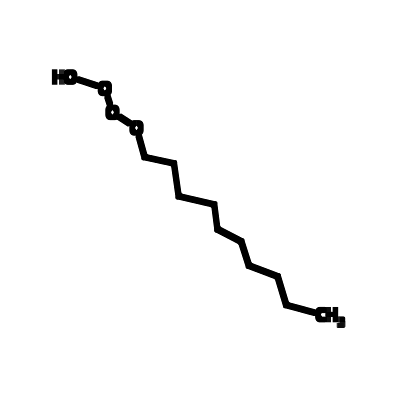 CCCCCCCCCCOOOO